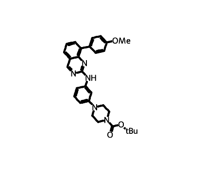 COc1ccc(-c2cccc3cnc(Nc4cccc(N5CCN(C(=O)OC(C)(C)C)CC5)c4)nc23)cc1